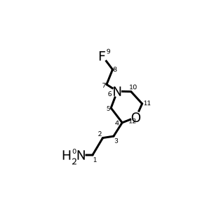 NCCCC1CN(CCF)CCO1